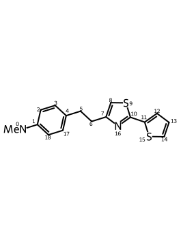 CNc1ccc(CCc2csc(-c3cccs3)n2)cc1